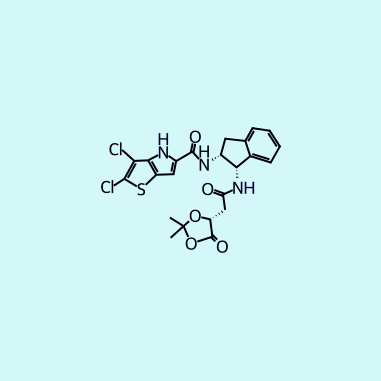 CC1(C)OC(=O)[C@@H](CC(=O)N[C@H]2c3ccccc3C[C@H]2NC(=O)c2cc3sc(Cl)c(Cl)c3[nH]2)O1